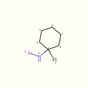 CCC1(NI)CCCCC1